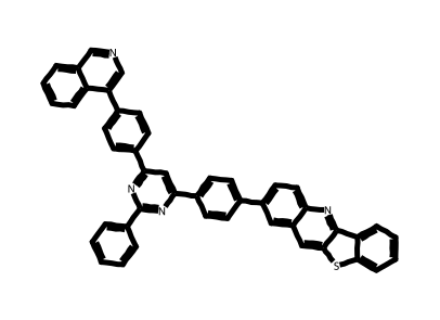 c1ccc(-c2nc(-c3ccc(-c4ccc5nc6c(cc5c4)sc4ccccc46)cc3)cc(-c3ccc(-c4cncc5ccccc45)cc3)n2)cc1